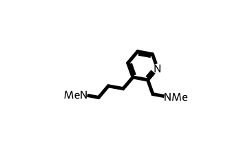 CNCCCc1cccnc1CNC